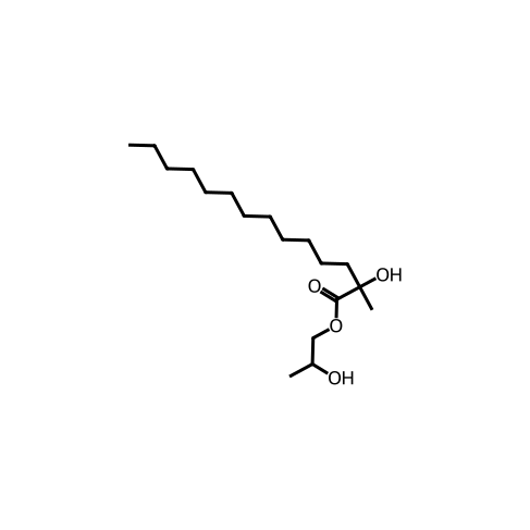 CCCCCCCCCCCCC(C)(O)C(=O)OCC(C)O